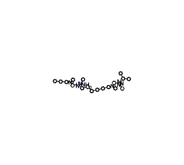 CC(/N=C(\N=C(/N)c1ccccc1)c1cccc(C2=CC(c3cccc(-c4ccc(-c5ccc(-c6ccc(N7c8ccccc8C8=C(c9nc(C%10=CC=CCC%10)nc(-c%10cc(-c%11ccccc%11)cc(-c%11ccccc%11)c%10)n9)C=CCC87)cc6)cc5)cc4)c3)=CCC2)c1)C1=c2c(n(-c3ccc(-c4ccc(-c5ccccc5)cc4)cc3)c3ccccc23)=CCC1